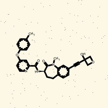 Cc1ccc(Oc2ccnc(C(=O)N[C@@H]3CCc4ccc(C#CC5(O)COC5)cc4N(C)C3=O)c2)cc1